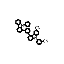 N#Cc1cccc(-n2c3ccc(C#N)cc3c3c(-c4cccc(-c5cccc6c7ccccc7n(-c7ccccc7)c56)c4)cccc32)c1